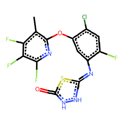 Cc1c(Oc2cc(N=c3[nH][nH]c(=O)s3)c(F)cc2Cl)nc(F)c(F)c1F